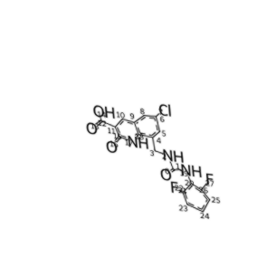 O=C(NCc1cc(Cl)cc2cc(C(=O)O)c(=O)[nH]c12)Nc1c(F)cccc1F